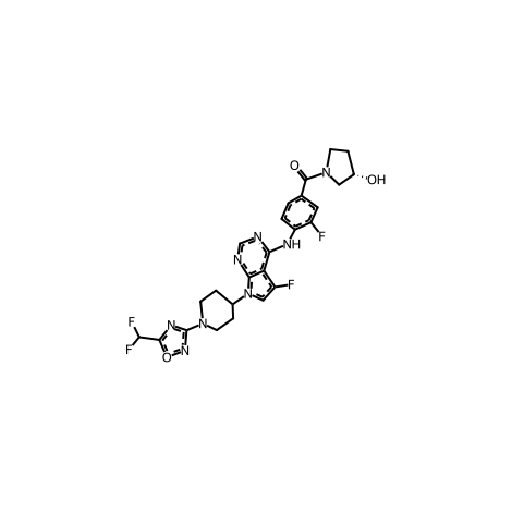 O=C(c1ccc(Nc2ncnc3c2c(F)cn3C2CCN(c3noc(C(F)F)n3)CC2)c(F)c1)N1CC[C@H](O)C1